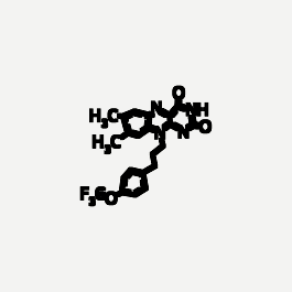 Cc1cc2nc3c(=O)[nH]c(=O)nc-3n(CCCc3ccc(OC(F)(F)F)cc3)c2cc1C